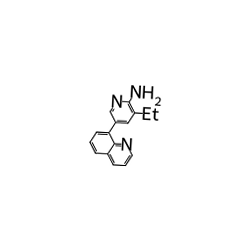 CCc1cc(-c2cccc3cccnc23)cnc1N